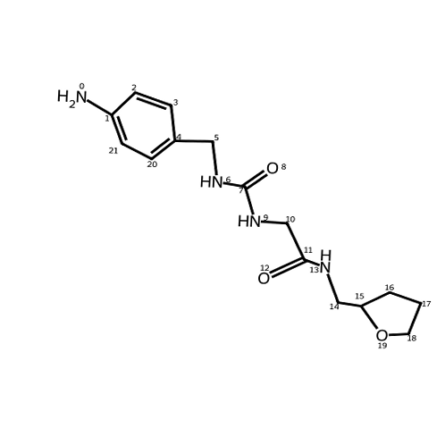 Nc1ccc(CNC(=O)NCC(=O)NCC2CCCO2)cc1